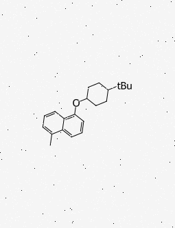 Cc1cccc2c(OC3CCC(C(C)(C)C)CC3)cccc12